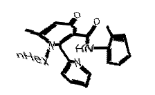 CCCCCCn1c(C)cc(=O)c(C(=O)Nc2ccccc2C)c1-c1ccccn1